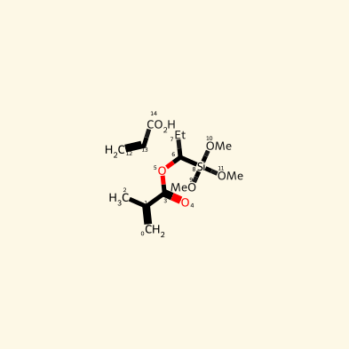 C=C(C)C(=O)OC(CC)[Si](OC)(OC)OC.C=CC(=O)O